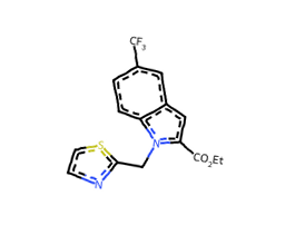 CCOC(=O)c1cc2cc(C(F)(F)F)ccc2n1Cc1nccs1